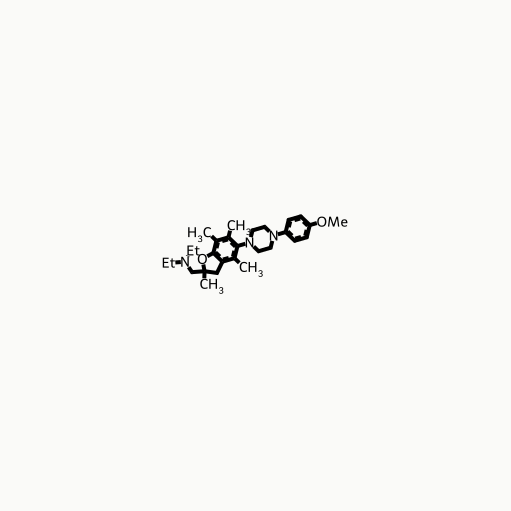 CCN(CC)CC1(C)Cc2c(C)c(N3CCN(c4ccc(OC)cc4)CC3)c(C)c(C)c2O1